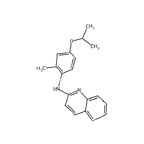 Cc1cc(OC(C)C)ccc1Nc1ccc2ccccc2n1